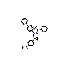 Bc1ccc(C2(/C=C(\N=C(/C)c3ccccc3)c3ccc(-c4ccccc4)cc3)CC2)cc1